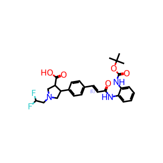 CC(C)(C)OC(=O)Nc1ccccc1NC(=O)/C=C/c1ccc(C2CN(CC(F)F)CC2C(=O)O)cc1